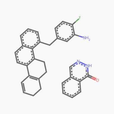 Nc1cc(Cc2cccc3ccc4c(c23)CCC2=C4C=CCC2)ccc1F.O=c1[nH]ncc2ccccc12